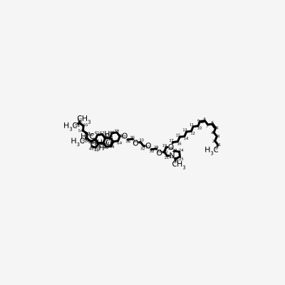 CCCCC/C=C\C/C=C\CCCCCCCCOCC(CN1CCCC1C)OCCOCCOCCO[C@H]1CC[C@@]2(C)C(=CC[C@H]3[C@@H]4CC[C@H]([C@H](C)CCCC(C)C)[C@@]4(C)CC[C@@H]32)C1